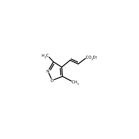 CCOC(=O)C=Cc1c(C)noc1C